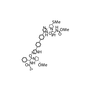 COC[C@H]1C[C@@H](c2ncc(-c3ccc(-c4ccc(-c5cnc([C@@H]6C[C@H](SC)CN6C(=O)[C@@H](NC(=O)OC)C(C)C)[nH]5)cc4)cc3)[nH]2)N(C(=O)[C@H](NC(=O)C2CC2)c2ccccc2)C1